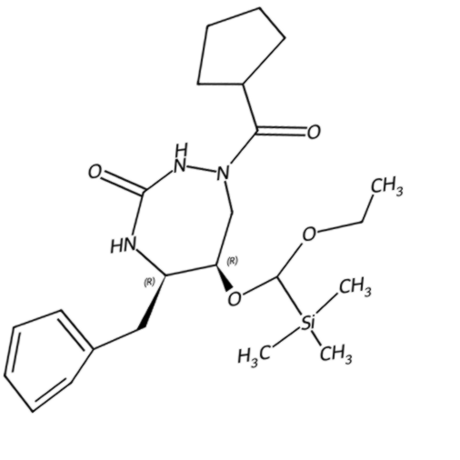 CCOC(O[C@@H]1CN(C(=O)C2CCCC2)NC(=O)N[C@@H]1Cc1ccccc1)[Si](C)(C)C